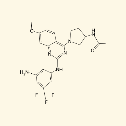 COc1ccc2c(N3CCC(NC(C)=O)C3)nc(Nc3cc(N)cc(C(F)(F)F)c3)nc2c1